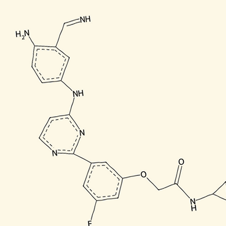 N=Cc1cc(Nc2ccnc(-c3cc(F)cc(OCC(=O)NC4CC4)c3)n2)ccc1N